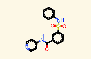 O=C(Nc1ccncc1)c1cccc(S(=O)(=O)Nc2ccccc2)c1